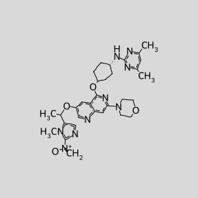 C=[N+]([O-])c1ncc(C(C)Oc2cnc3cc(N4CCOCC4)nc(O[C@H]4CC[C@@H](Nc5nc(C)cc(C)n5)CC4)c3c2)n1C